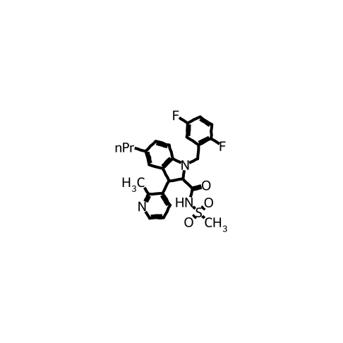 CCCc1ccc2c(c1)C(c1cccnc1C)C(C(=O)NS(C)(=O)=O)N2Cc1cc(F)ccc1F